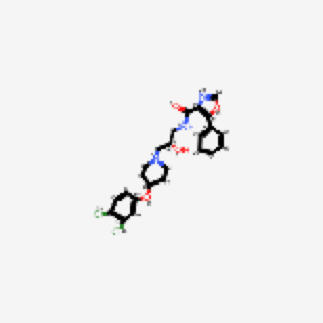 O=C(NC[C@@H](O)CN1CCC(Oc2ccc(Cl)c(Cl)c2)CC1)c1ncoc1-c1ccccc1